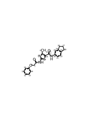 Cc1nc(NC(=O)COc2ccccc2)sc1C(=O)Nc1ccc2c(c1)CCC2